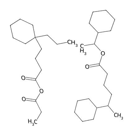 CC(CCCC(=O)OC(C)C1CCCCC1)C1CCCCC1.CCCC1(CCCC(=O)OC(=O)CC)CCCCC1